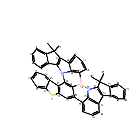 CC1(C)c2ccccc2-c2c1c1cccc3c1n2-c1c2c(cc4sc5ccccc5c14)-c1cccc4c5c(n(c14)B23)C(C)(C)c1ccccc1-5